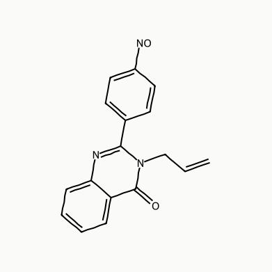 C=CCn1c(-c2ccc(N=O)cc2)nc2ccccc2c1=O